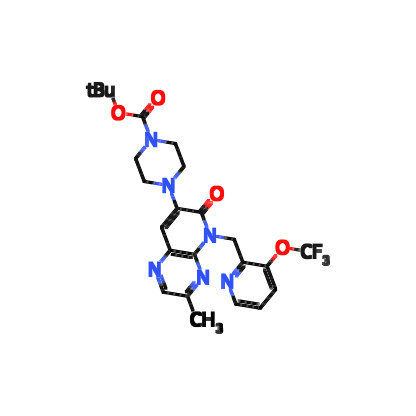 Cc1cnc2cc(N3CCN(C(=O)OC(C)(C)C)CC3)c(=O)n(Cc3ncccc3OC(F)(F)F)c2n1